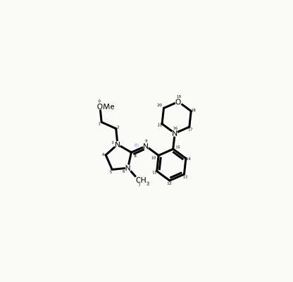 COCCN1CCN(C)/C1=N\c1ccccc1N1CCOCC1